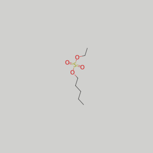 CCCCCOS(=O)(=O)OCC